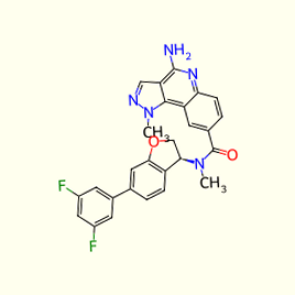 CN(C(=O)c1ccc2nc(N)c3cnn(C)c3c2c1)[C@@H]1COc2cc(-c3cc(F)cc(F)c3)ccc21